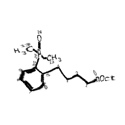 CCCCCCCCCCCCc1ccccc1P(C)(C)=O